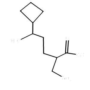 CC(CCC(CN)C(=O)O)C1CCC1